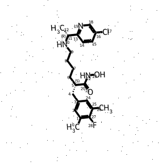 Cc1cc(C[C@H](CCCCN[C@H](C)c2ccc(Cl)cn2)C(=O)NO)cc(C)c1F